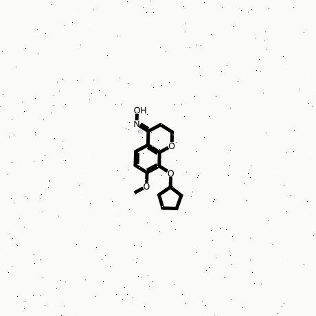 COc1ccc2c(c1OC1CCCC1)OCC/C2=N\O